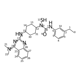 CCc1cccc(NC(=O)N(S)C2CCC(Nc3nc(N(C)C)c4ccccc4n3)CC2)c1